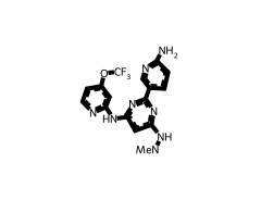 CNNc1cc(Nc2cc(OC(F)(F)F)ccn2)nc(-c2ccc(N)nc2)n1